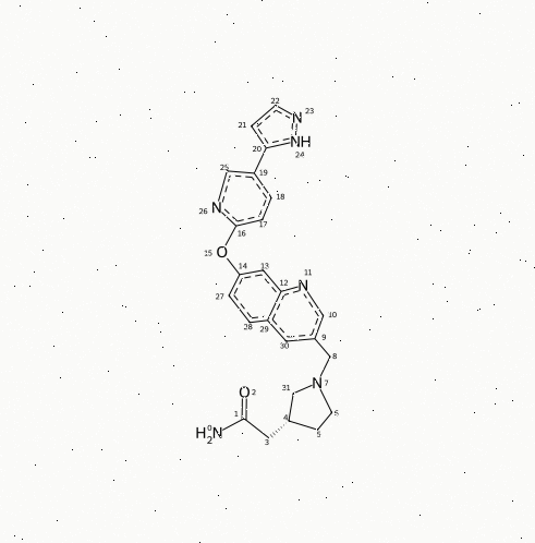 NC(=O)C[C@H]1CCN(Cc2cnc3cc(Oc4ccc(-c5ccn[nH]5)cn4)ccc3c2)C1